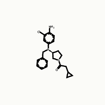 Nc1ccc(N(Cc2ccccc2)[C@H]2CCN(C(=O)CC3CC3)C2)cc1Cl